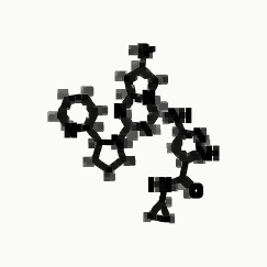 O=C(NC1CC1)c1cc(Nc2nc(N3CCCC3c3ccccn3)nc3cc(Br)cn23)n[nH]1